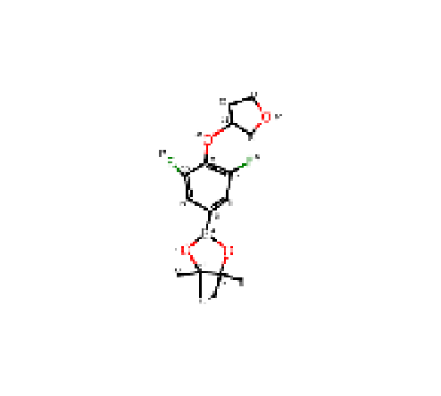 CC1(C)OB(c2cc(F)c(OC3CCOC3)c(F)c2)OC1(C)C